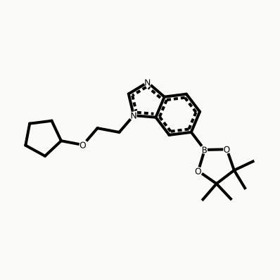 CC1(C)OB(c2ccc3ncn(CCOC4CCCC4)c3c2)OC1(C)C